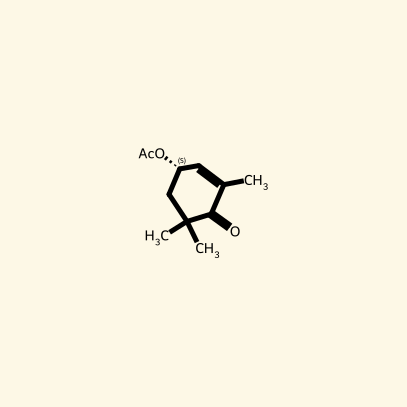 CC(=O)O[C@@H]1C=C(C)C(=O)C(C)(C)C1